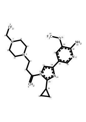 C=C(CCN1CCN(CC(F)(F)F)CC1)n1cc(-c2cnc(N)c(OC(F)(F)F)c2)nc1C1CC1